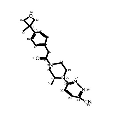 C[C@H]1CN(C(=O)Cc2ccc(C3(C)COC3)cc2)CCN1c1ccc(C#N)nn1